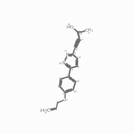 C=CCOc1ccc(-c2ccc(C#CC(C)O)nn2)cc1